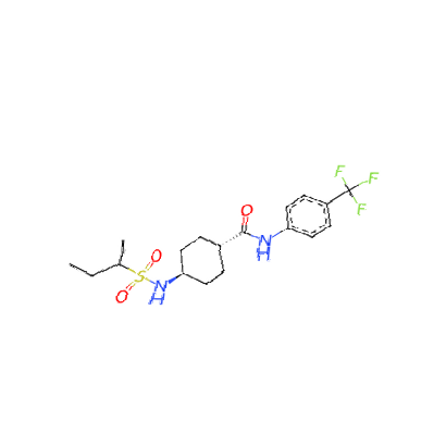 CCC(C)S(=O)(=O)N[C@H]1CC[C@H](C(=O)Nc2ccc(C(F)(F)F)cc2)CC1